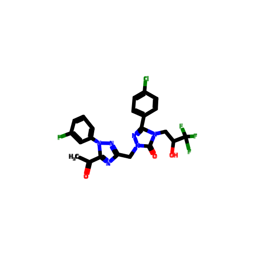 CC(=O)c1nc(Cn2nc(-c3ccc(Cl)cc3)n(CC(O)C(F)(F)F)c2=O)nn1-c1cccc(F)c1